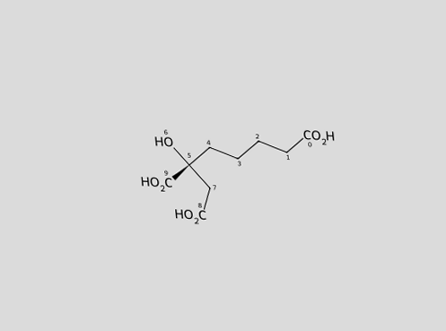 O=C(O)CCCC[C@@](O)(CC(=O)O)C(=O)O